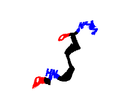 NC(=O)/C=C/C=C\NC=O